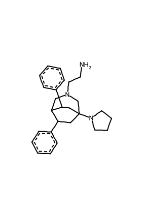 NCCN1CC2C(c3ccccc3)CC(N3CCCC3)(CC2c2ccccc2)C1